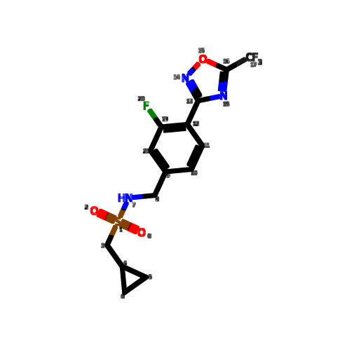 O=S(=O)(CC1CC1)NCc1ccc(-c2noc(C(F)(F)F)n2)c(F)c1